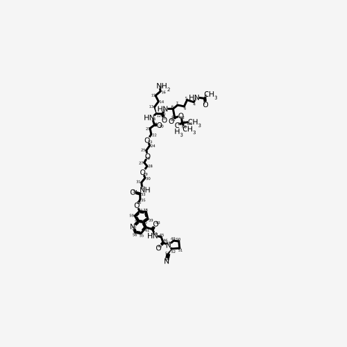 CC(=O)NCCCCC(NC(=O)[C@H](CCCCN)NC(=O)CCOCCOCCOCCNC(=O)COc1ccc2c(C(=O)NCC(=O)N3CCC[C@H]3C#N)ccnc2c1)C(=O)OC(C)(C)C